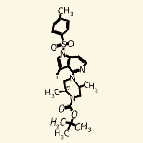 Cc1ccc(S(=O)(=O)n2cc(I)c3c(N4C[C@H](C)N(C(=O)OC(C)(C)C)CC4C)nccc32)cc1